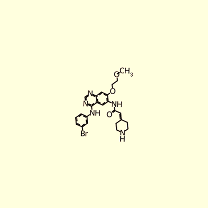 COCCOc1cc2ncnc(Nc3cccc(Br)c3)c2cc1NC(=O)C=C1CCNCC1